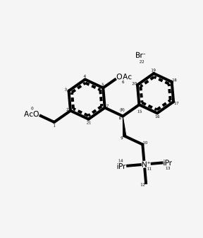 CC(=O)OCc1ccc(OC(C)=O)c([C@H](CC[N+](C)(C(C)C)C(C)C)c2ccccc2)c1.[Br-]